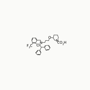 O=C(O)N1CCCC(OCCCN(Cc2cccc(C(F)(F)F)c2Cl)CC(c2ccccc2)c2ccccc2)C1